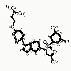 CN(C)CCOc1ccc(-n2ccc3cc(N(CC(=O)O)S(=O)(=O)c4cc(Cl)cc(Cl)c4)ccc32)nn1